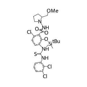 COCC1CCCN1NS(=O)(=O)c1c(Cl)ccc(NC(=S)Nc2cccc(Cl)c2Cl)c1O[Si](C)(C)C(C)(C)C